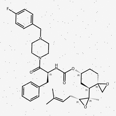 CC(C)=CC[C@H]1O[C@]1(C)[C@H]1C[C@H](OC(=O)N[C@@H](Cc2ccccc2)C(=O)N2CCN(Cc3ccc(F)cc3)CC2)CC[C@]12CO2